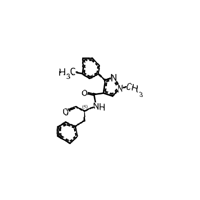 Cc1cccc(-c2nn(C)cc2C(=O)N[C@H](C=O)Cc2ccccc2)c1